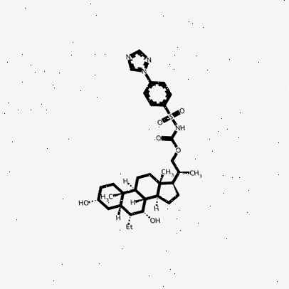 CC[C@H]1[C@@H](O)[C@@H]2[C@H](CC[C@]3(C)[C@@H]([C@H](C)COC(=O)NS(=O)(=O)c4ccc(-n5cncn5)cc4)CC[C@@H]23)[C@@]2(C)CC[C@@H](O)C[C@@H]12